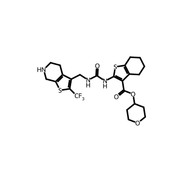 O=C(NCc1c(C(F)(F)F)sc2c1CCNC2)Nc1sc2c(c1C(=O)OC1CCOCC1)CCCC2